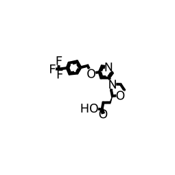 O=C(O)CC[C@H]1CN(c2cncc(OCc3ccc(C(F)(F)F)cc3)c2)CCO1